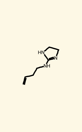 C=CCCNC1=NCCN1